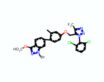 Cc1cc(OCc2c(C(F)(F)F)nnn2-c2c(Cl)cccc2Cl)ccc1-c1ccc2c(OC(=O)O)nn(C(C)C)c2c1